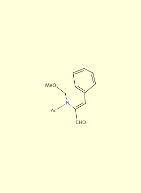 COCN(C(C)=O)C([C]=O)=Cc1ccccc1